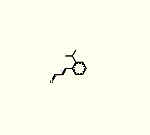 CC(C)c1ccccc1/C=C/C=O